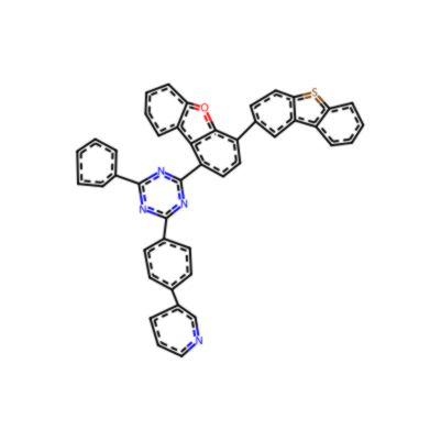 c1ccc(-c2nc(-c3ccc(-c4cccnc4)cc3)nc(-c3ccc(-c4ccc5sc6ccccc6c5c4)c4oc5ccccc5c34)n2)cc1